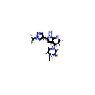 FC(F)n1cc(-c2cc3c(N4CCNCC4)ccnc3[nH]2)cn1